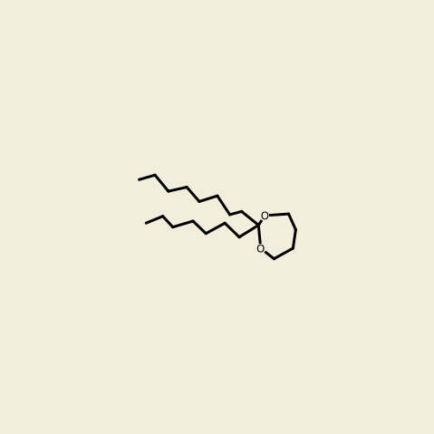 CCCCCCCCC1(CCCCCCC)OCCCCO1